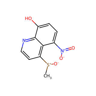 C[S+]([O-])c1ccnc2c(O)ccc([N+](=O)[O-])c12